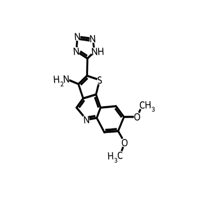 COc1cc2ncc3c(N)c(-c4nnn[nH]4)sc3c2cc1OC